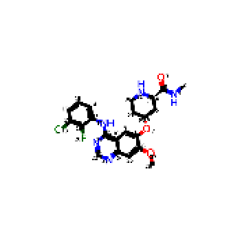 CNC(=O)[C@H]1C[C@H](Oc2cc3c(Nc4cccc(Cl)c4F)ncnc3cc2OC)CCN1